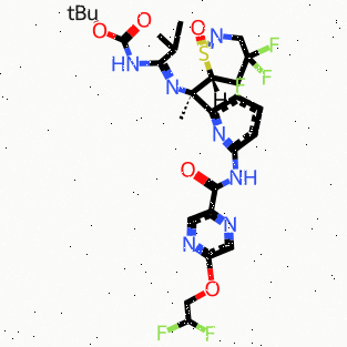 CC(C)(C)OC(=O)NC1=N[C@](C)(c2nc(NC(=O)c3cnc(OCC(F)F)cn3)ccc2F)[C@H]2CC(F)(F)CN=[S@]2(=O)C1(C)C